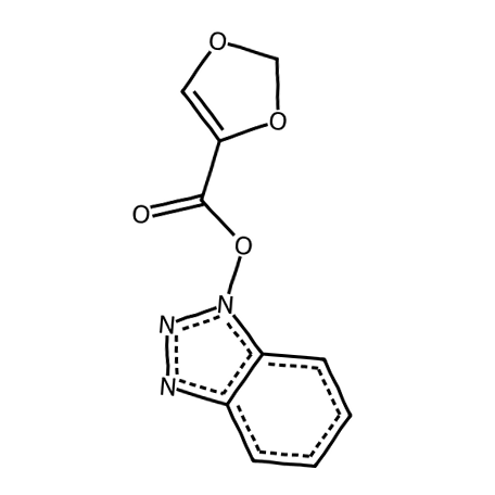 O=C(On1nnc2ccccc21)C1=COCO1